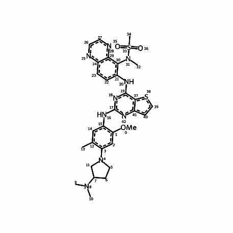 COc1cc(N2CCC(N(C)C)C2)c(C)cc1Nc1nc(Nc2ccc3nccnc3c2N(C)S(C)(=O)=O)c2sccc2n1